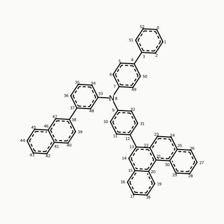 c1ccc(-c2ccc(N(c3ccc(-c4cc5ccccc5c5c4ccc4ccccc45)cc3)c3cccc(-c4ccc5ccccc5c4)c3)cc2)cc1